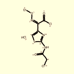 CCON=C(C(=O)Cl)c1csc(NC(=O)CCl)n1.Cl